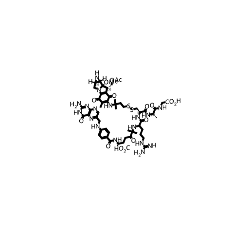 CO[C@@]12[C@H](COC(C)=O)C3=C(C(=O)C(C)=C(NC(C)(C)CCSSC[C@H](NC(=O)C(CCCNC(=N)N)NC(C)(C)C(=O)CC[C@H](NC(=O)c4ccc(NCc5cnc6nc(N)[nH]c(=O)c6n5)cc4)C(=O)O)C(=O)N[C@@H](C)C(=O)NCC(=O)O)C3=O)N1C[C@@H]1N[C@@H]12